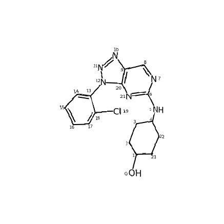 OC1CCC(Nc2ncc3nnn(-c4ccccc4Cl)c3n2)CC1